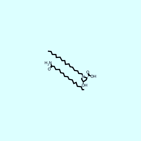 CCCCCCCCCCCCCCCC(N)=O.CCCCCCCCCCCCCCCCN1C[C@H](O)C[C@H]1C(=O)O